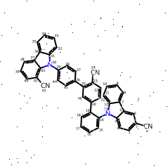 N#Cc1ccc2c(c1)c1ccccc1n2-c1ccccc1-c1ccc(C#N)c(-c2ccc(-n3c4ccccc4c4cccc(C#N)c43)cc2)c1